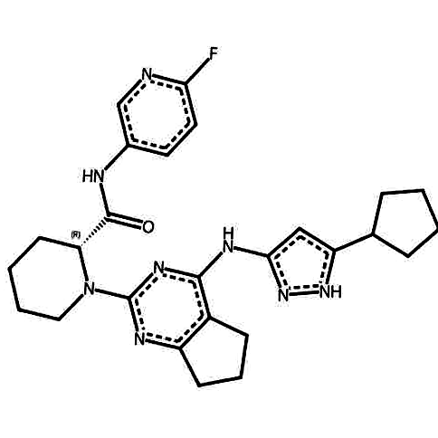 O=C(Nc1ccc(F)nc1)[C@H]1CCCCN1c1nc2c(c(Nc3cc(C4CCCC4)[nH]n3)n1)CCC2